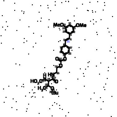 COc1cc(/C=C/c2ccc(OC(=O)OCCNC(=O)C(NC(=O)O)C(C)OC(C)(C)C)cc2)cc(OC)c1